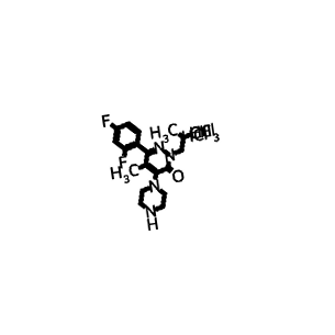 Cc1c(-c2ccc(F)cc2F)nn(CC(C)C)c(=O)c1N1CCNCC1.Cl.Cl